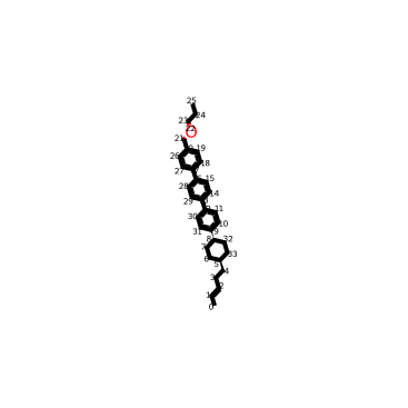 CC=CCC[C@H]1CC[C@H](c2ccc(-c3ccc(-c4ccc(COCCC)cc4)cc3)cc2)CC1